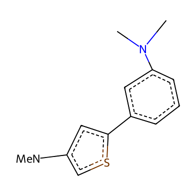 CNc1csc(-c2cccc(N(C)C)c2)c1